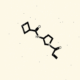 C=CC(=O)N1CCC(NC(=O)C2CCC2)C1